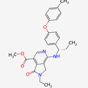 CC[C@H](Nc1ncc(C(=O)OC)c2c1CN(CC)C2=O)c1ccc(Oc2ccc(C)cc2)cc1